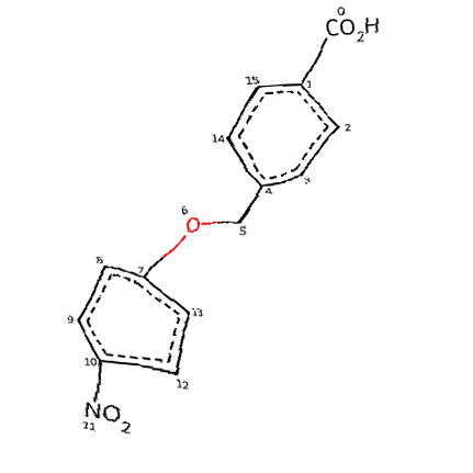 O=C(O)c1ccc(COc2ccc([N+](=O)[O-])cc2)cc1